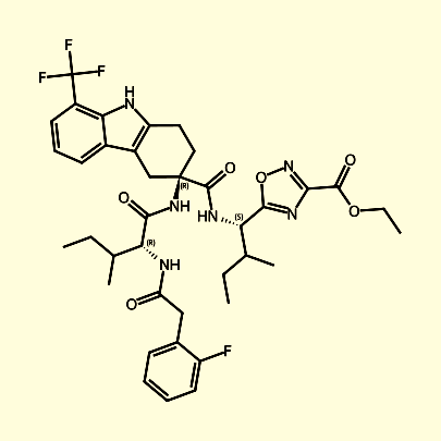 CCOC(=O)c1noc([C@@H](NC(=O)[C@@]2(NC(=O)[C@H](NC(=O)Cc3ccccc3F)C(C)CC)CCc3[nH]c4c(C(F)(F)F)cccc4c3C2)C(C)CC)n1